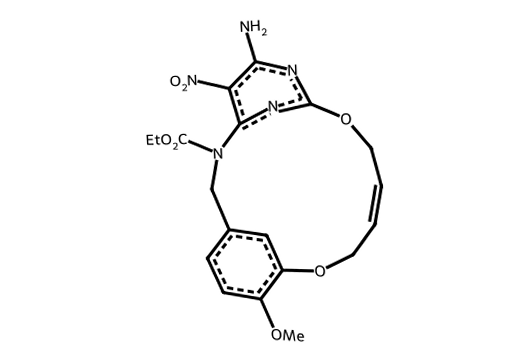 CCOC(=O)N1Cc2ccc(OC)c(c2)OC/C=C\COc2nc(N)c([N+](=O)[O-])c1n2